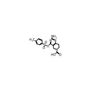 Cc1ccc(S(=O)(=O)Oc2nc(N)nc3c2CN(C(=O)O)CC3)cc1